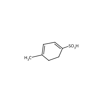 CC1=CC=C(S(=O)(=O)O)CC1